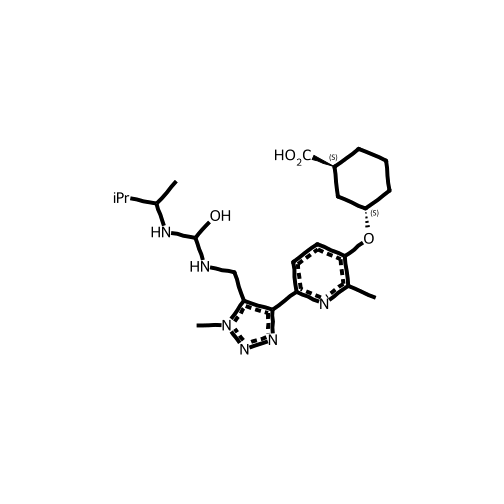 Cc1nc(-c2nnn(C)c2CNC(O)NC(C)C(C)C)ccc1O[C@H]1CCC[C@H](C(=O)O)C1